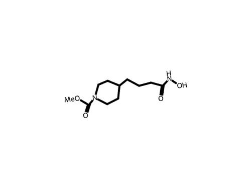 COC(=O)N1CCC(CCCC(=O)NO)CC1